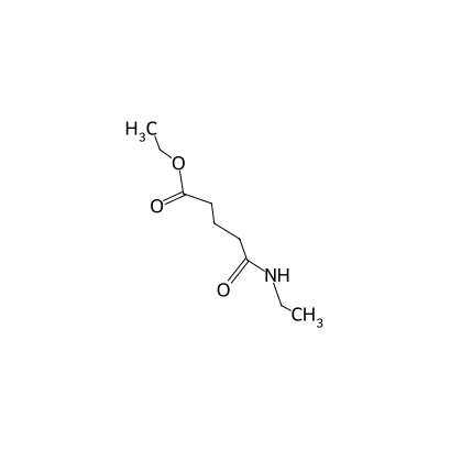 CCNC(=O)CCCC(=O)OCC